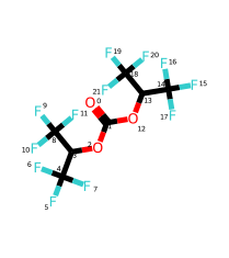 O=C(OC(C(F)(F)F)C(F)(F)F)OC(C(F)(F)F)C(F)(F)F